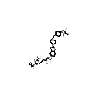 O=[N+]([O-])c1cn(CC[C@@H](O)COc2ccc3nc(N4CCN(Cc5ccc(OC(F)(F)F)cc5)CC4)sc3c2)c(Cl)n1